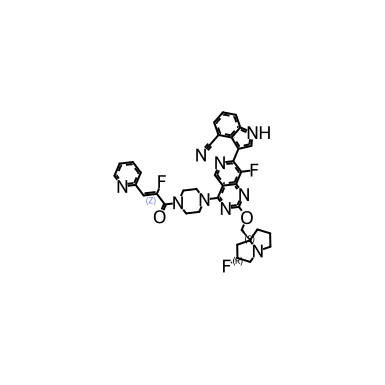 N#Cc1cccc2[nH]cc(-c3ncc4c(N5CCN(C(=O)/C(F)=C/c6ccccn6)CC5)nc(OC[C@@]56CCCN5C[C@H](F)C6)nc4c3F)c12